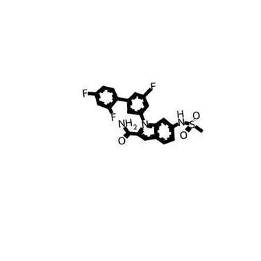 CS(=O)(=O)Nc1ccc2cc(C(N)=O)n(-c3cc(F)cc(-c4ccc(F)cc4F)c3)c2c1